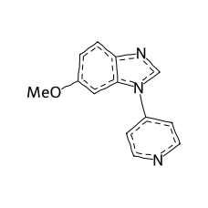 COc1ccc2ncn(-c3ccncc3)c2c1